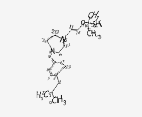 CC(C)Cc1ccc(CN2CCN(CCOC(C)(C)S)CC2)cc1